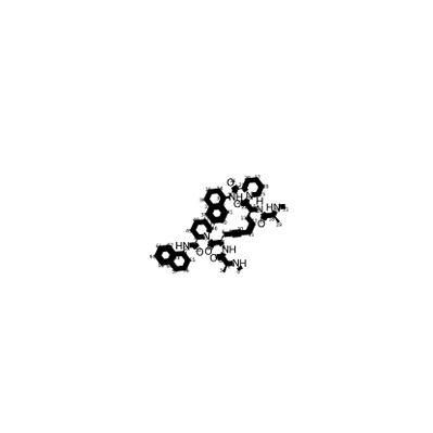 CN[C@@H](C)C(=O)N[C@@H](CC#C/C=C\C[C@H](NC(=O)[C@H](C)NC)C(=O)N1CCCC[C@H]1C(=O)N[C@@H]1CCCc2ccccc21)C(=O)N1CCCC[C@H]1C(=O)N[C@@H]1CCCc2ccccc21